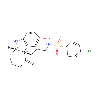 C=C1CCC[C@@H]2Nc3ccc(Br)cc3[C@]12CCCNS(=O)(=O)c1ccc(Cl)cc1